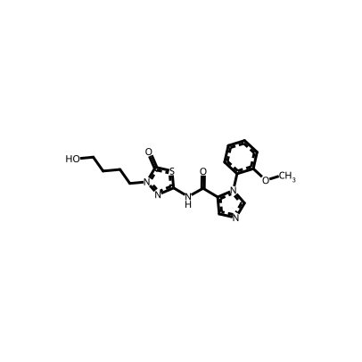 COc1ccccc1-n1cncc1C(=O)Nc1nn(CCCCO)c(=O)s1